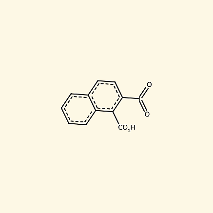 O=C(O)c1c(I(=O)=O)ccc2ccccc12